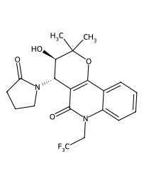 CC1(C)Oc2c(c(=O)n(CC(F)(F)F)c3ccccc23)[C@H](N2CCCC2=O)[C@H]1O